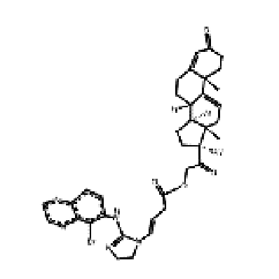 C[C@]12CCC(=O)C=C1CC[C@@H]1C2=CC[C@@]2(C)[C@H]1CC[C@]2(O)C(=O)COC(=O)C/C=C/N1CCN=C1Nc1ccc2nccnc2c1Br